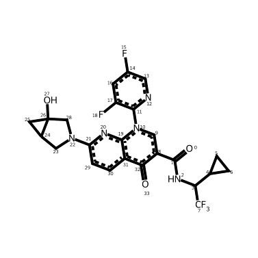 O=C(NC(C1CC1)C(F)(F)F)c1cn(-c2ncc(F)cc2F)c2nc(N3CC4CC4(O)C3)ccc2c1=O